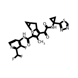 Cc1c(C(=O)C(=O)NC2(c3nncs3)CC2)c2n(c1C(=O)Nc1ccnc(C(F)F)c1F)C1CC1C2